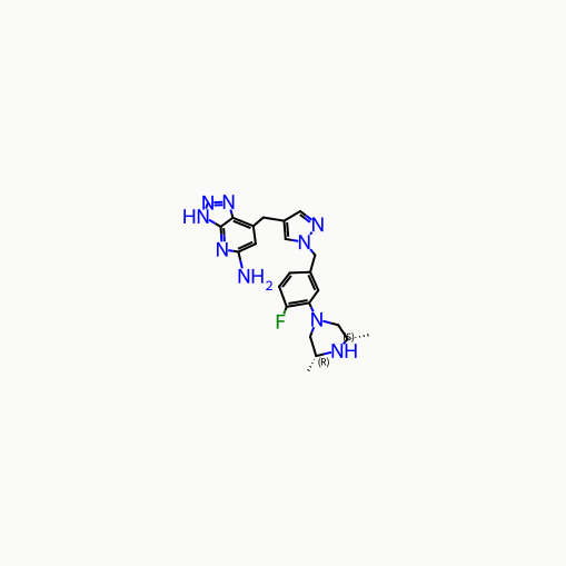 C[C@@H]1CN(c2cc(Cn3cc(Cc4cc(N)nc5[nH]nnc45)cn3)ccc2F)C[C@H](C)N1